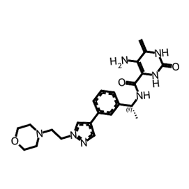 C=C1NC(=O)NC(C(=O)N[C@H](C)c2cccc(-c3cnn(CCN4CCOCC4)c3)c2)=C1N